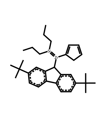 CCC[Si](CCC)=[Zr]([C]1=CC=CC1)[CH]1c2cc(C(C)(C)C)ccc2-c2ccc(C(C)(C)C)cc21